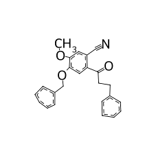 COc1cc(C#N)c(C(=O)CCc2ccccc2)cc1OCc1ccccc1